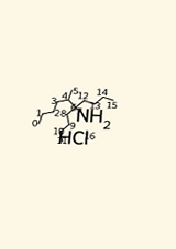 CCCCC(C)C(N)(CCCC)CCCC.Cl